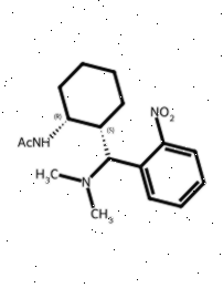 CC(=O)N[C@@H]1CCCC[C@@H]1C(c1ccccc1[N+](=O)[O-])N(C)C